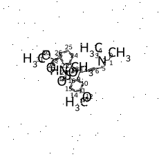 CCN(CC)CC#CCc1cc(OC)ccc1S(=O)(=O)Nc1c(C)cccc1C(=O)OC